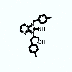 Cc1ccc(CC(CO)n2c(=N)n(Cc3ccc(C)cc3)c3cccnc32)cc1